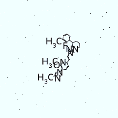 COc1nc(/C=C/N2CN3CCCC(c4cccc(C)c4F)C3=N2)ccc1-n1cnc(C)c1